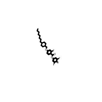 CCCCCCCCC1CCC(COc2ccc(C(=O)Oc3cc(F)c(F)c(F)c3)c(F)c2)CC1